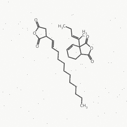 CCC=C(C)C12C=CCCC1C(=O)OC2=O.CCCCCCCCCCC=CC1CC(=O)OC1=O